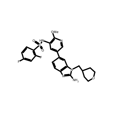 COc1ncc(-c2ccc3nc(N)n(CC4CCOCC4)c3c2)cc1NS(=O)(=O)c1ccc(F)cc1F